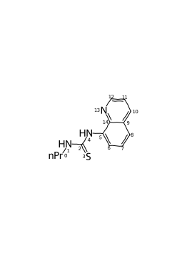 CCCNC(=S)Nc1cccc2cccnc12